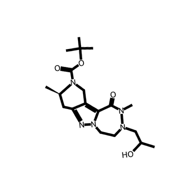 CC(O)CN1CCn2nc3c(c2C(=O)N1C)CN(C(=O)OC(C)(C)C)[C@H](C)C3